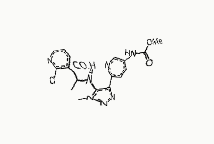 COC(=O)Nc1ccc(-c2nnn(C)c2N(C(=O)O)C(C)c2cccnc2Cl)nc1